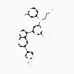 COCCN(c1ccnc(C)c1)c1cc(-c2c[nH]c3ncc(-c4cnn(C)c4)cc23)nc(N)n1